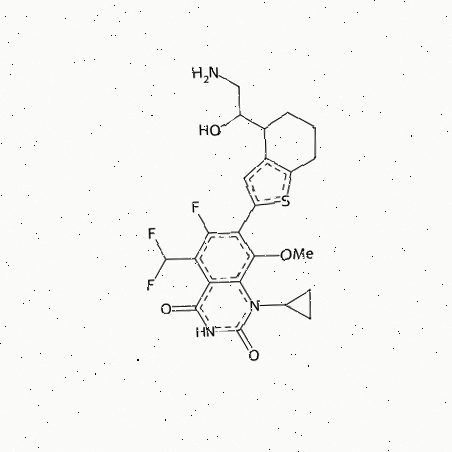 COc1c(-c2cc3c(s2)CCCC3C(O)CN)c(F)c(C(F)F)c2c(=O)[nH]c(=O)n(C3CC3)c12